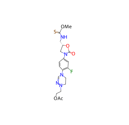 COC(=S)NC[C@H]1CN(c2ccc(N3C=NN(CCOC(C)=O)CC3)c(F)c2)C(=O)O1